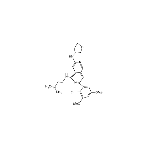 COc1cc(OC)c(Cl)c(-c2cc3cnc(NC4CCOC4)cc3c(NCCN(C)C)n2)c1